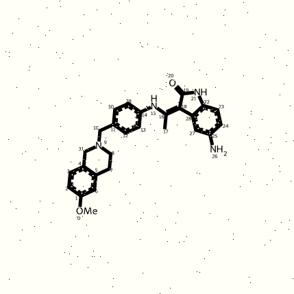 COc1ccc2c(c1)CCN(Cc1ccc(NC(C)=C3C(=O)Nc4ccc(N)cc43)cc1)C2